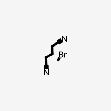 CBr.N#CCCCC#N